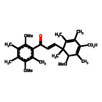 COc1c(C)c(C)c(OC)c(C(=O)C=CC2(C)C(C)=C(C)C(C(=O)O)=C(C)C2OC)c1C